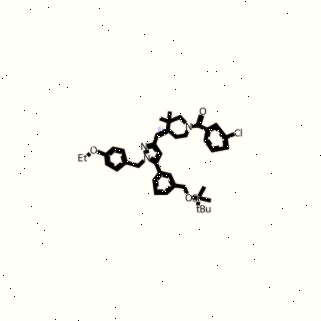 CCOc1ccc(Cn2nc(/C=C3\CCN(C(=O)c4cccc(Cl)c4)CC3(C)C)cc2-c2cccc(CO[Si](C)(C)C(C)(C)C)c2)cc1